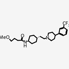 COCCCC(=O)N[C@H]1CC[C@H](CCN2CCC(c3cccc(C(F)(F)F)c3)CC2)CC1